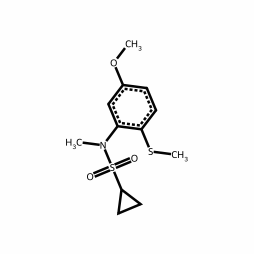 COc1ccc(SC)c(N(C)S(=O)(=O)C2CC2)c1